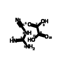 N#CNC(=N)N.O=C(O)C(=O)O